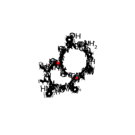 CCCC[C@H]1C(=O)N(C)[C@@H](CCCC)C(=O)N[C@@H](C)C(=O)N[C@H]2CSCC(=O)N[C@@H](Cc3ccc(O)cc3)C(=O)N(C)CC(=O)C[C@@H](CC(N)=O)C(=O)N3CCC[C@H]3C(=O)N[C@@H](Cc3cnc[nH]3)C(=O)N[C@@H](CC(C)C)C(=O)N[C@@H](CCNC(=O)CNC2=O)C(=O)N[C@@H](Cc2c[nH]c3ccccc23)C(=O)N[C@@H](CO)C(=O)N[C@@H](Cc2c[nH]c3ccccc23)C(=O)N1C